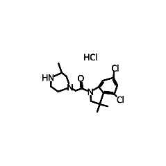 CC1CN(CC(=O)N2CC(C)(C)c3c(Cl)cc(Cl)cc32)CCN1.Cl